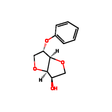 O[C@@H]1CO[C@H]2[C@@H]1OC[C@@H]2Oc1ccccc1